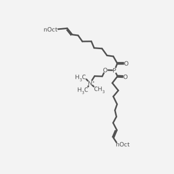 CCCCCCCCC=CCCCCCCCC(=O)P(OCC[N+](C)(C)C)C(=O)CCCCCCCC=CCCCCCCCC